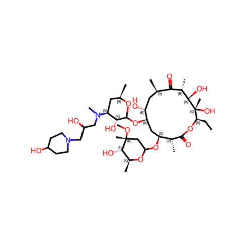 CC[C@H]1OC(=O)[C@H](C)[C@@H](OC2C[C@@](C)(OC)[C@@H](O)[C@H](C)O2)C[C@@H](OC2O[C@H](C)C[C@H](N(C)CC(O)CN3CCC(O)CC3)[C@H]2O)[C@H](O)C[C@@H](C)C(=O)[C@H](C)[C@@H](O)[C@]1(C)O